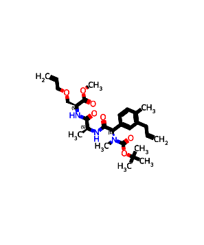 C=CCOC[C@H](NC(=O)[C@H](C)NC(=O)[C@H](c1ccc(C)c(CC=C)c1)N(C)C(=O)OC(C)(C)C)C(=O)OC